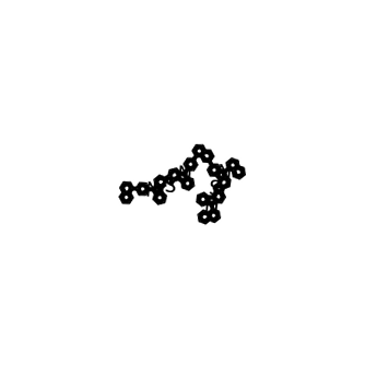 c1ccc2c(-c3ccc(-n4c5ccccc5c5c6sc7c(ccc8c7c7ccccc7n8-c7ccc(-c8cccc9ccc(-c%10ccc%11c%12c%13sc%14c(ccc%15c%14c%14ccccc%14n%15-c%14cccc%15ccccc%14%15)c%13ccc%12n(-c%12cccc%13ccccc%12%13)c%11c%10)cc89)cc7)c6ccc54)cc3)cccc2c1